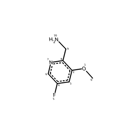 COc1cc(F)cnc1CN